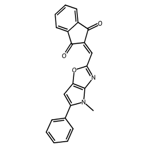 Cn1c(-c2ccccc2)cc2oc(C=C3C(=O)c4ccccc4C3=O)nc21